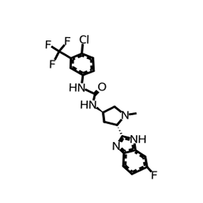 CN1C[C@H](NC(=O)Nc2ccc(Cl)c(C(F)(F)F)c2)C[C@H]1c1nc2ccc(F)cc2[nH]1